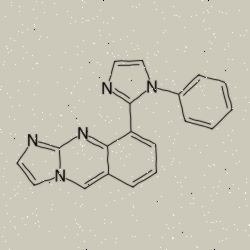 c1ccc(-n2ccnc2-c2cccc3cn4ccnc4nc23)cc1